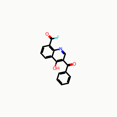 O=C(c1ccccc1)c1cnc2c(C(=O)F)cccc2c1O